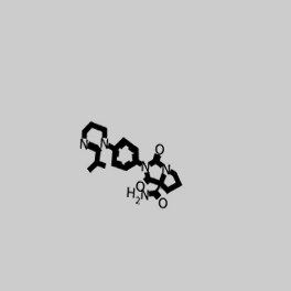 CC(C)C1=NCCCN1c1ccc(N2C(=O)N3CC[CH][C@]3(C(N)=O)C2=O)cc1